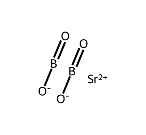 O=B[O-].O=B[O-].[Sr+2]